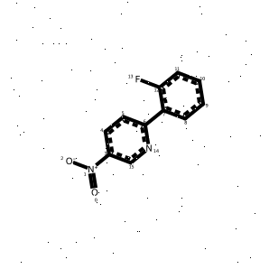 O=[N+]([O-])c1ccc(-c2ccccc2F)nc1